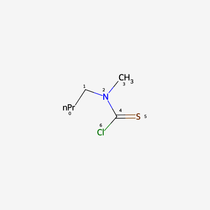 CCCCN(C)C(=S)Cl